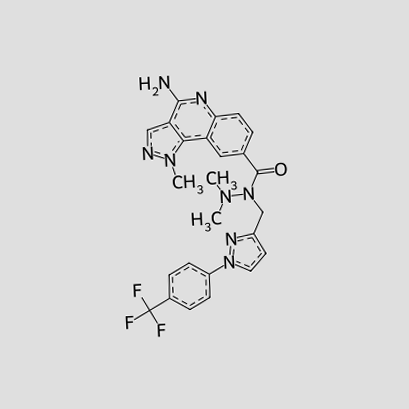 CN(C)N(Cc1ccn(-c2ccc(C(F)(F)F)cc2)n1)C(=O)c1ccc2nc(N)c3cnn(C)c3c2c1